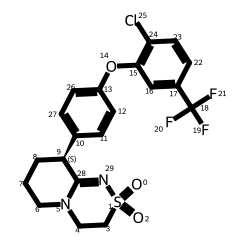 O=S1(=O)CCN2CCC[C@@H](c3ccc(Oc4cc(C(F)(F)F)ccc4Cl)cc3)C2=N1